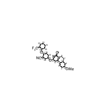 COc1ccc2c(c1)CCn1c-2cc(Oc2ccc(Oc3ccccc3C(F)(F)F)c(C#N)c2)nc1=O